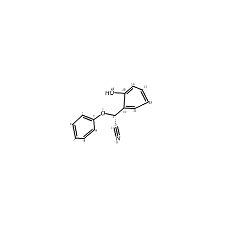 N#C[C@H](Oc1ccccc1)c1ccccc1O